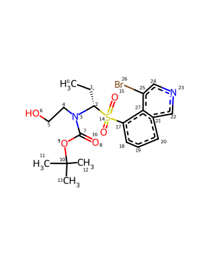 C[CH][C@@H](N(CCO)C(=O)OC(C)(C)C)S(=O)(=O)c1cccc2cncc(Br)c12